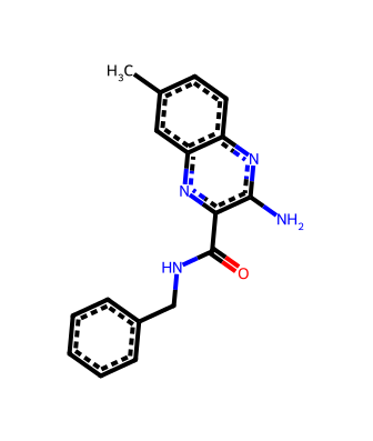 Cc1ccc2nc(N)c(C(=O)NCc3ccccc3)nc2c1